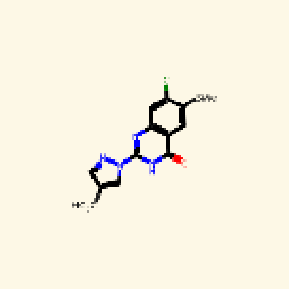 CSc1cc2c(=O)[nH]c(-n3cc(C(=O)O)cn3)nc2cc1Cl